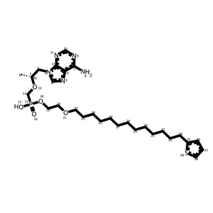 C[C@H](Cn1cnc2c(N)ncnc21)OCP(=O)(O)OCCOCCCCCCCCCCCCCc1cccs1